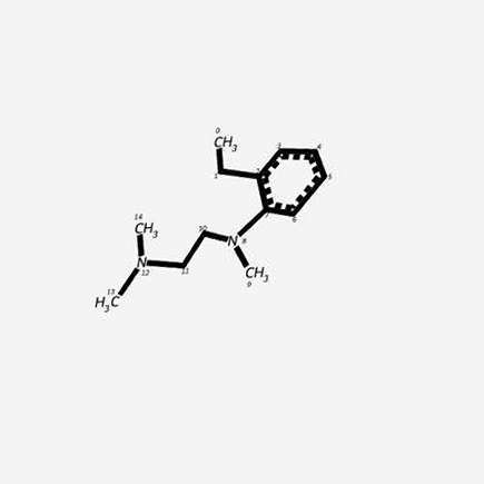 CCc1ccccc1N(C)CCN(C)C